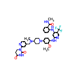 CNC(=O)c1ccccc1Nc1cc(Nc2ccc(N3CCC(N(C)Cc4ccnc(N5CCC(=O)NC5=O)c4)CC3)cc2OC)ncc1C(F)(F)F